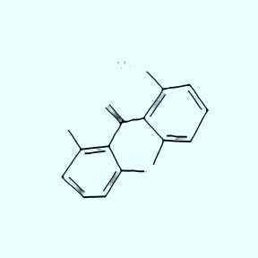 COc1cccc2oc3cccc(O)c3c(=O)c12